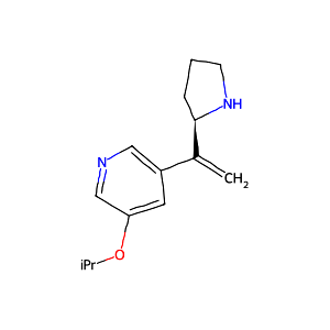 C=C(c1cncc(OC(C)C)c1)[C@H]1CCCN1